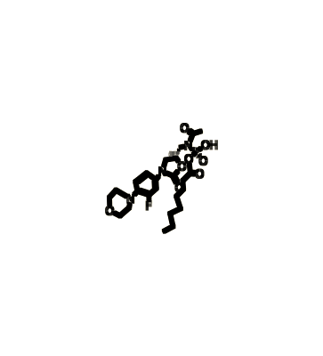 CCCCCCCC(=O)OP(=O)(O)N(C[C@H]1CN(c2ccc(N3CCOCC3)c(F)c2)C(=O)O1)C(C)=O